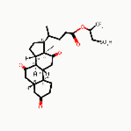 CC(CCC(=O)OC(CS(=O)(=O)O)C(F)(F)F)[C@@H]1CC[C@H]2[C@@H]3C(=O)C[C@H]4CC(=O)CC[C@]4(C)[C@H]3CC(=O)[C@]12C